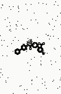 O=C1OC2(CCC(O)(C(=O)Nc3ncc(-c4ccccc4)cn3)CC2)c2cc[n+]([O-])cc21